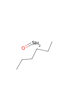 CCCCCC.O=[SiH2]